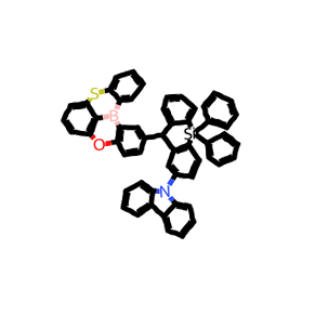 c1ccc([Si]2(c3ccccc3)c3ccccc3C(c3ccc4c(c3)B3c5ccccc5Sc5cccc(c53)O4)c3cc(-n4c5ccccc5c5ccccc54)ccc32)cc1